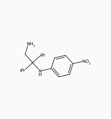 CC(C)C(CN)(Nc1ccc([N+](=O)[O-])cc1)C(C)C